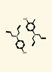 C=CCN(CC=C)c1ccc(O)c(C)c1.C=CCN(CC=C)c1ccc(O)cc1